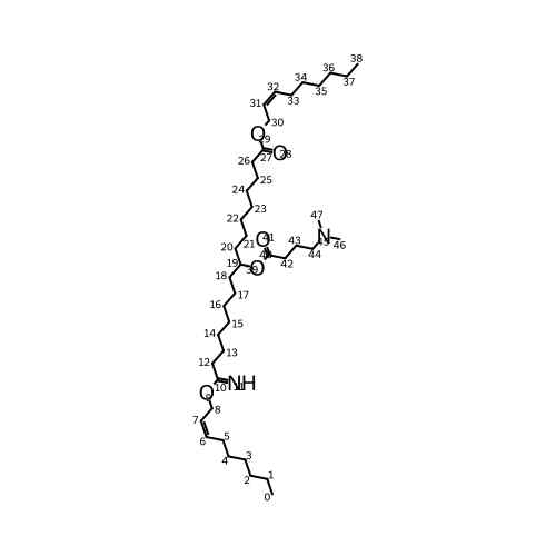 CCCCCC/C=C\COC(=N)CCCCCCCC(CCCCCCCC(=O)OC/C=C\CCCCCC)OC(=O)CCCN(C)C